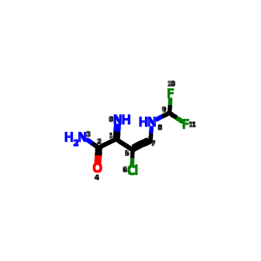 N=C(C(N)=O)/C(Cl)=C\NC(F)F